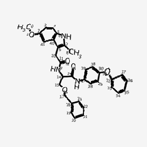 COc1ccc2[nH]c(C)c(CC(=O)NC(COCc3ccccc3)C(=O)Nc3ccc(Oc4ccccc4)cc3)c2c1